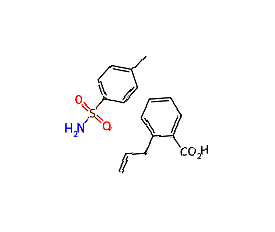 C=CCc1ccccc1C(=O)O.Cc1ccc(S(N)(=O)=O)cc1